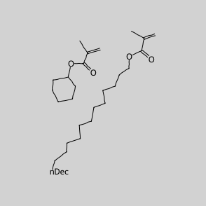 C=C(C)C(=O)OC1CCCCC1.C=C(C)C(=O)OCCCCCCCCCCCCCCCCCCCCCC